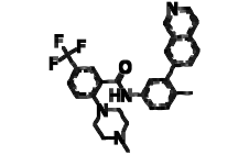 Cc1ccc(NC(=O)c2cc(C(F)(F)F)ccc2N2CCN(C)CC2)cc1-c1ccc2ccncc2c1